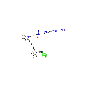 CCCCN1/C(=C/C=C/C=C/C=C/C2=[N+](CCCCCC(=O)NCCCNCCCCNCCCN)c3ccccc3C2(C)C)C(C)(C)c2ccccc21.Cl.Cl.Cl.[Br-]